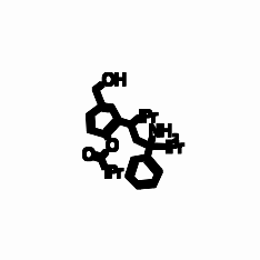 CC(C)C(=O)Oc1ccc(CO)cc1C(CC(N)(c1ccccc1)C(C)C)C(C)C